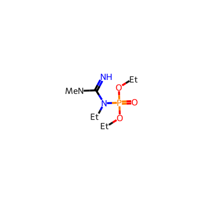 CCOP(=O)(OCC)N(CC)C(=N)NC